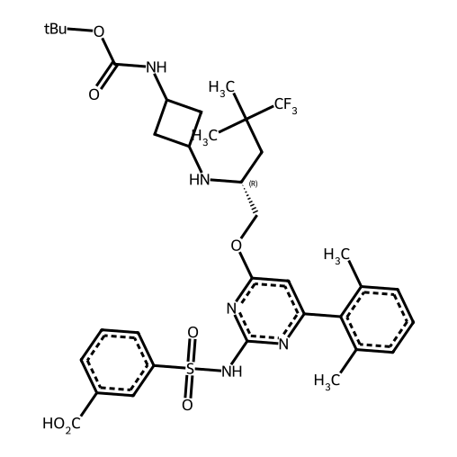 Cc1cccc(C)c1-c1cc(OC[C@@H](CC(C)(C)C(F)(F)F)NC2CC(NC(=O)OC(C)(C)C)C2)nc(NS(=O)(=O)c2cccc(C(=O)O)c2)n1